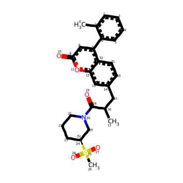 Cc1ccccc1-c1cc(=O)oc2cc(CC(C)C(=O)N3CCC[C@H](S(C)(=O)=O)C3)ccc12